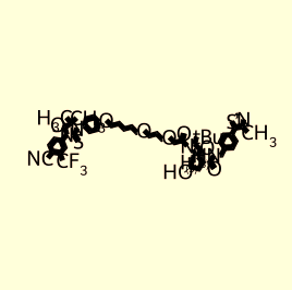 Cc1ncsc1-c1ccc(CNC(=O)[C@@H]2C[C@H](O)CN2C(=O)C(NC(=O)COCCCOCCCCCOc2ccc(N3C(=S)N(c4ccc(C#N)c(C(F)(F)F)c4)C(=O)C3(C)C)cc2)C(C)(C)C)cc1